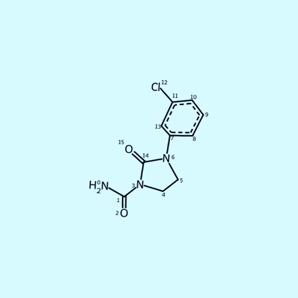 NC(=O)N1CCN(c2cccc(Cl)c2)C1=O